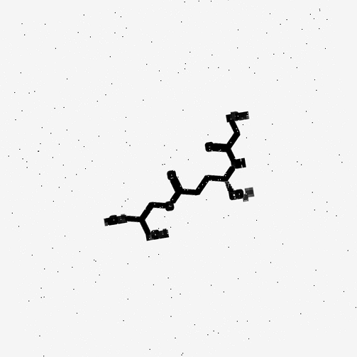 CCCCCCCCCCCC(=O)N[C@@H](CCC(=O)OCC(CCCCCCCC)CCCCCCCC)C(=O)O